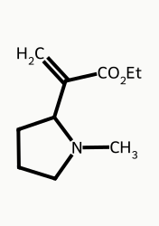 C=C(C(=O)OCC)C1CCCN1C